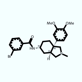 COc1ccc([C@@]23CC[C@@H](NC(=O)c4cccc(Br)c4)C[C@@H]2CN(C)C3)cc1OC